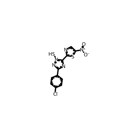 O=[N+]([O-])c1cnc(-c2nc(-c3ccc(Cl)cc3)nn2S)s1